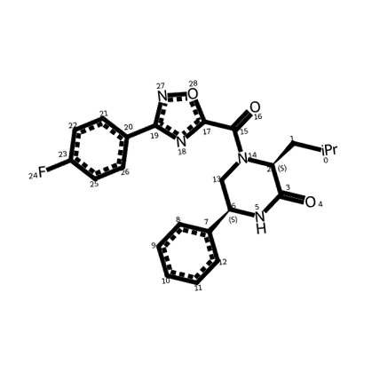 CC(C)C[C@H]1C(=O)N[C@@H](c2ccccc2)CN1C(=O)c1nc(-c2ccc(F)cc2)no1